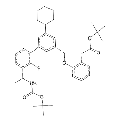 CC(NC(=O)OC(C)(C)C)c1cccc(-c2cc(COc3ccccc3CC(=O)OC(C)(C)C)cc(C3CCCCC3)c2)c1F